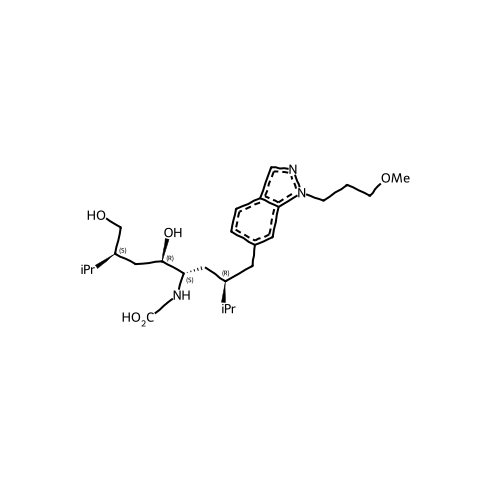 COCCCn1ncc2ccc(C[C@H](C[C@H](NC(=O)O)[C@H](O)C[C@H](CO)C(C)C)C(C)C)cc21